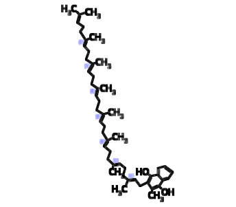 CC(C)=CCC/C(C)=C/CC/C(C)=C/CC/C(C)=C/CC/C(C)=C/CC/C(C)=C/CC/C(C)=C/CC/C(C)=C/Cc1c(C)c(O)c2ccccc2c1O